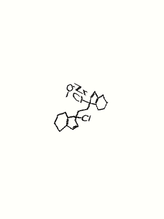 C[O][Zr].ClC1(CCC2(Cl)C=CC3=C2CCCC3)C=CC2=C1CCCC2